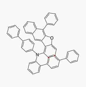 c1ccc(-c2ccc(-c3ccccc3N(c3ccc(-c4ccccc4)cc3)c3cccc4oc5c(-c6ccccc6)c6ccccc6cc5c34)cc2)cc1